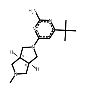 CN1C[C@@H]2CN(c3cc(C(C)(C)C)nc(N)n3)C[C@@H]2C1